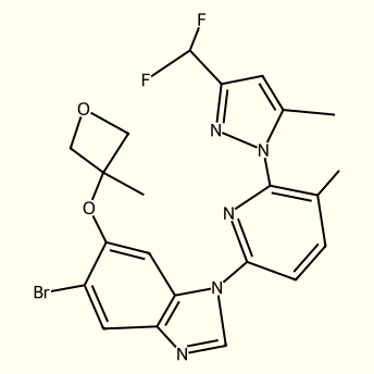 Cc1ccc(-n2cnc3cc(Br)c(OC4(C)COC4)cc32)nc1-n1nc(C(F)F)cc1C